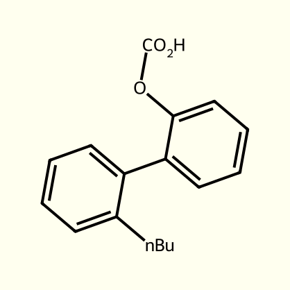 CCCCc1ccccc1-c1ccccc1OC(=O)O